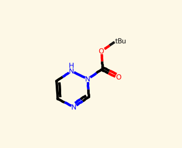 CC(C)(C)OC(=O)N1C=NC=CN1